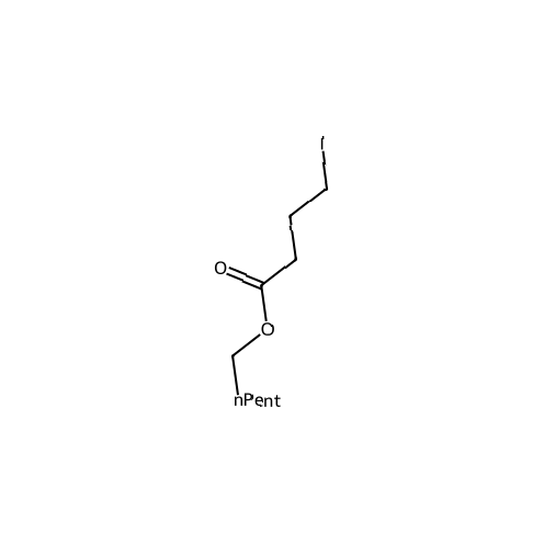 CCCCCCOC(=O)CCCI